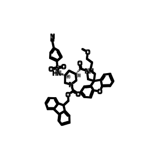 COCCCCC1(CNC(=O)[C@H]2C[C@@H](NS(=O)(=O)c3ccc(C#N)cc3)CN(C(=O)OCC3c4ccccc4-c4ccccc43)C2)c2ccccc2Oc2ccccc21